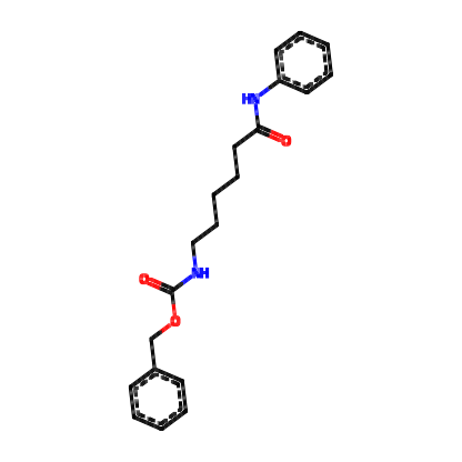 O=C(CCCCCNC(=O)OCc1ccccc1)Nc1ccccc1